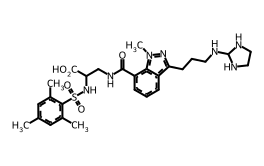 Cc1cc(C)c(S(=O)(=O)NC(CNC(=O)c2cccc3c(CCCNC4NCCN4)nn(C)c23)C(=O)O)c(C)c1